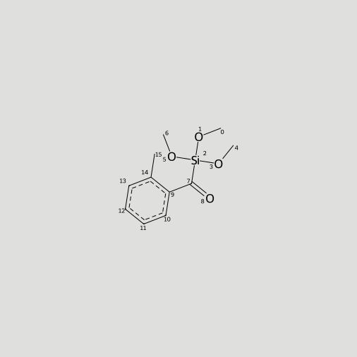 CO[Si](OC)(OC)C(=O)c1ccccc1C